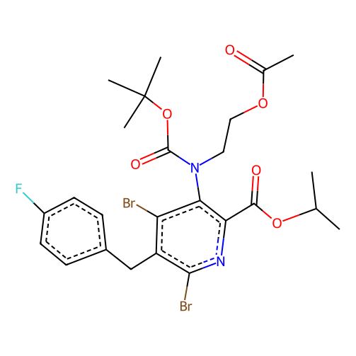 CC(=O)OCCN(C(=O)OC(C)(C)C)c1c(C(=O)OC(C)C)nc(Br)c(Cc2ccc(F)cc2)c1Br